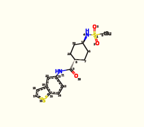 CC(C)(C)S(=O)(=O)N[C@H]1CC[C@H](C(=O)Nc2ccc3sccc3c2)CC1